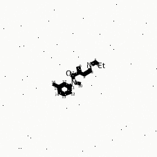 C=C(/C=C\N=C/CC)C(=O)N(C)c1cccc(C)c1